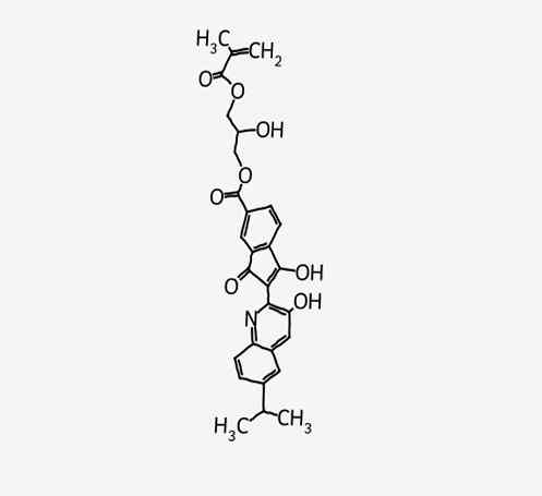 C=C(C)C(=O)OCC(O)COC(=O)c1ccc2c(c1)C(=O)C(c1nc3ccc(C(C)C)cc3cc1O)=C2O